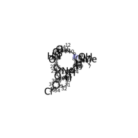 CO[C@@]1(C[C@H](O)C2CC2)/C=C/C[C@H](C)[C@@H](C)S(=O)(=O)NC(=O)c2ccc3c(c2)N(C[C@H]2CCCc4cc(Cl)ccc4C2O3)C[C@@H]2CC[C@H]21